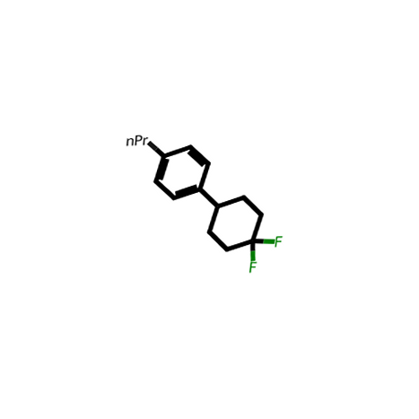 CCCc1ccc(C2CCC(F)(F)CC2)cc1